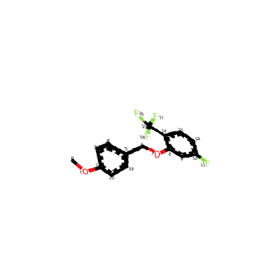 COc1ccc(COc2cc(F)ccc2C(F)(F)F)cc1